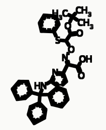 CC(C)(C)OC(=O)C(ON=C(C(=O)O)c1csc(NC(c2ccccc2)(c2ccccc2)c2ccccc2)n1)Sc1ccccc1